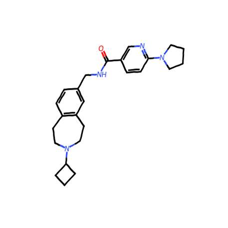 O=C(NCc1ccc2c(c1)CCN(C1CCC1)CC2)c1ccc(N2CCCC2)nc1